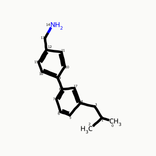 CC(C)Cc1c[c]cc(-c2ccc(CN)cc2)c1